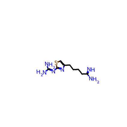 N=C(N)CCCCc1csc(N=C(N)N)n1